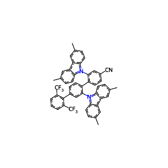 Cc1ccc2c(c1)c1cc(C)ccc1n2-c1cc(C#N)ccc1-c1ccc(-c2c(C(F)(F)F)cccc2C(F)(F)F)cc1-n1c2ccc(C)cc2c2cc(C)ccc21